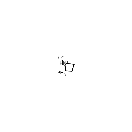 P.[O-][NH+]1CCC1